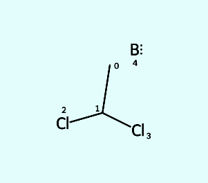 CC(Cl)Cl.[B]